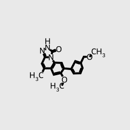 COCc1cccc(-c2cc3c(cc2OC)c(C)cc2n[nH]c(=O)n23)c1